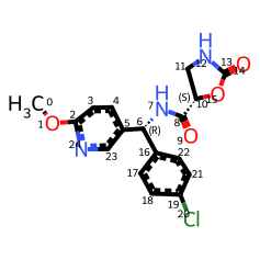 COc1ccc([C@H](NC(=O)[C@@H]2CNC(=O)O2)c2ccc(Cl)cc2)cn1